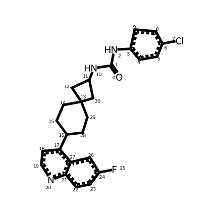 O=C(Nc1ccc(Cl)cc1)NC1CC2(CCC(c3ccnc4ccc(F)cc34)CC2)C1